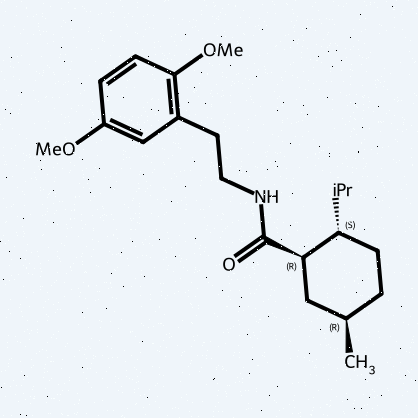 COc1ccc(OC)c(CCNC(=O)[C@@H]2C[C@H](C)CC[C@H]2C(C)C)c1